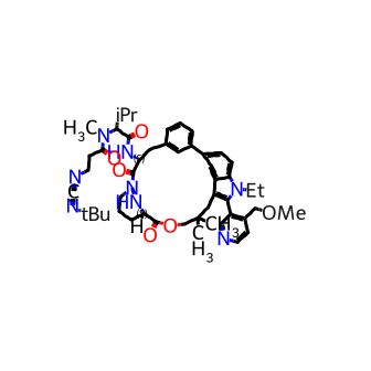 CCn1c(-c2cnccc2COC)c2c3cc(ccc31)-c1cccc(c1)C[C@H](NC(=O)C(C(C)C)N(C)C(=O)CCN=C=NC(C)(C)C)C(=O)N1CCC[C@H](N1)C(=O)OCC(C)(C)C2